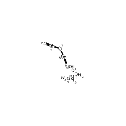 O.O.O.O.O.[O]=[Rh][O][Rh]=[O]